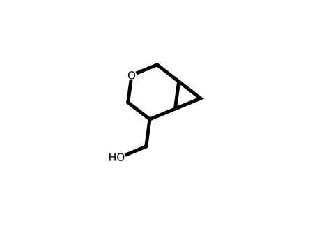 OCC1COCC2CC12